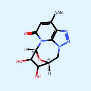 CNc1cc(=O)n2c3c1nnn3C[C@H]1O[C@@H]2C(O)C1O